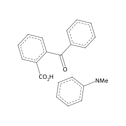 CNc1ccccc1.O=C(O)c1ccccc1C(=O)c1ccccc1